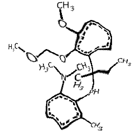 CCC(C)(Pc1c(C)cccc1N(C)C)c1cccc(OC)c1OCOC